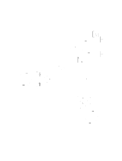 COc1cc(Br)c(C(F)(F)F)cc1N(CCOCCOS(=O)(=O)c1ccc(C)cc1)CCOCCOS(=O)(=O)c1ccc(C)cc1